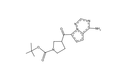 CC(C)(C)OC(=O)N1CCC(C(=O)c2ccc3c(N)ncnn23)C1